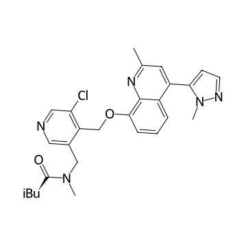 CC[C@H](C)C(=O)N(C)Cc1cncc(Cl)c1COc1cccc2c(-c3ccnn3C)cc(C)nc12